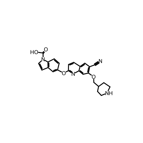 N#Cc1cc2ccc(Oc3ccc4c(ccn4C(=O)O)c3)nc2cc1OCC1CCNCC1